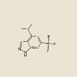 CC(C)c1cc(C(F)(F)F)cc2[nH]ncc12